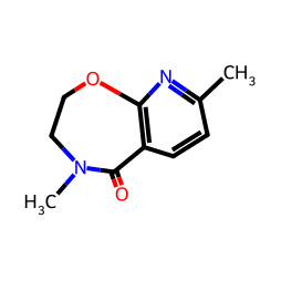 Cc1ccc2c(n1)OCCN(C)C2=O